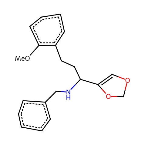 COc1ccccc1CCC(NCc1ccccc1)C1=COCO1